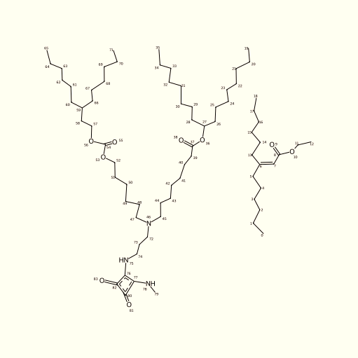 CCCCCCC(=CC(=O)OCC)CCCCCC.CCCCCCCCC(CCCCCCCC)OC(=O)CCCCCCCN(CCCCCCOC(=O)OCCC(CCCCCC)CCCCCC)CCCNc1c(NC)c(=O)c1=O